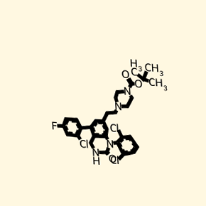 CC(C)(C)OC(=O)N1CCN(CCc2cc(-c3ccc(F)cc3Cl)c3c(c2)N(c2c(Cl)cccc2Cl)C(=O)NC3)CC1